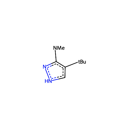 CNc1n[nH]cc1C(C)(C)C